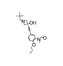 CCCOc1ccc(C#CC2(O)CN(CC(C)(C)C)C2)cc1N(C)C=O